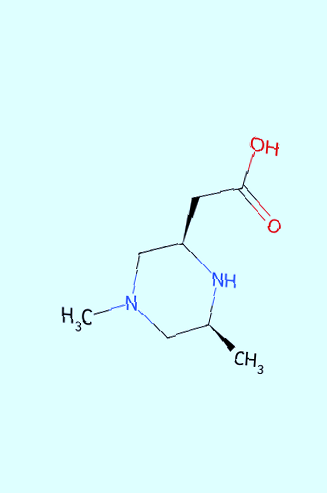 C[C@H]1CN(C)C[C@@H](CC(=O)O)N1